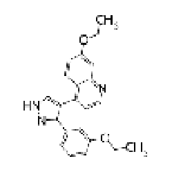 CCOc1cccc(-c2n[nH]cc2-c2ccnc3cc(OCC)ccc23)c1